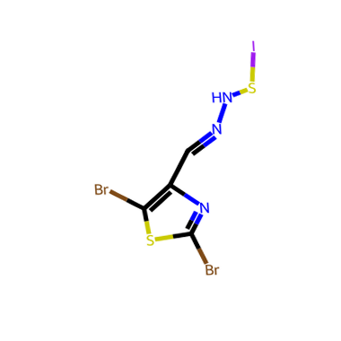 Brc1nc(/C=N/NSI)c(Br)s1